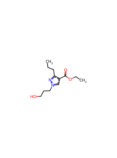 CCCc1nn(CCCO)cc1C(=O)OCC